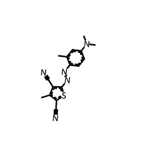 Cc1cc(N(C)C)ccc1N=Nc1sc(C#N)c(C)c1C#N